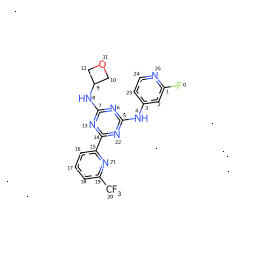 Fc1cc(Nc2nc(NC3COC3)nc(-c3cccc(C(F)(F)F)n3)n2)ccn1